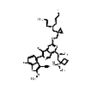 C=Nc1sc2c(F)ccc(-c3ncc4c(N(C)CC5(N(C)C)CCC5)nc(OCC5(CN(CCC)CCCF)CC5)nc4c3F)c2c1C#N